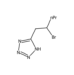 CCCC(Br)Cc1nnn[nH]1